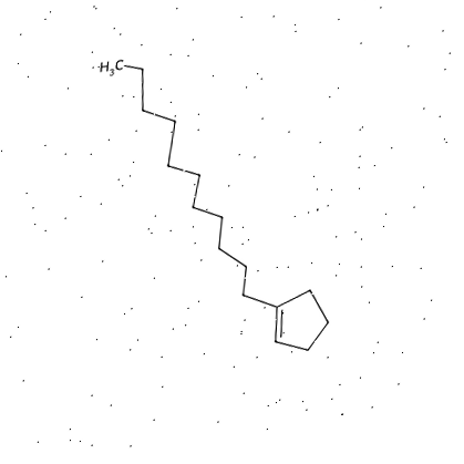 CCCCCCCCCCCC1=CCCC1